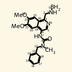 BNCc1ncc(NC(=O)N(C)Cc2ccccc2)c2cc(OC)c(OC)cc12